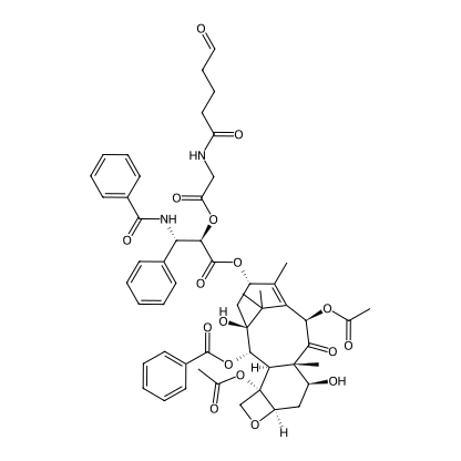 CC(=O)O[C@H]1C(=O)[C@@]2(C)[C@H]([C@H](OC(=O)c3ccccc3)[C@]3(O)C[C@H](OC(=O)[C@H](OC(=O)CNC(=O)CCCC=O)[C@@H](NC(=O)c4ccccc4)c4ccccc4)C(C)=C1C3(C)C)[C@]1(OC(C)=O)CO[C@@H]1C[C@@H]2O